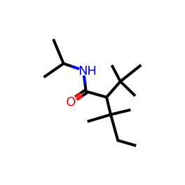 CCC(C)(C)C(C(=O)NC(C)C)C(C)(C)C